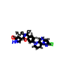 CN(C(=O)[C@H]1CNC(=O)C1)[C@H](c1ccc(N2CCCc3c2cnc2cc(Cl)nn32)cc1)C(F)(F)F